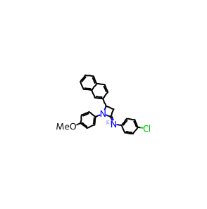 COc1ccc(N2/C(=N/c3ccc(Cl)cc3)CC2c2ccc3ccccc3c2)cc1